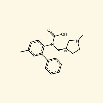 Cc1ccc(N(C[C@@H]2CCN(C)C2)C(=O)O)c(-c2ccccc2)c1